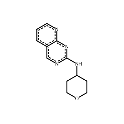 c1cnc2nc(NC3CCOCC3)ncc2c1